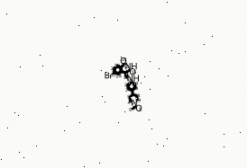 CC(=O)N1CCC(c2ccc(NC=C3C(=O)NC(=O)c4ccc(Br)cc43)cc2)CC1